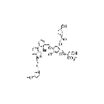 O=C(O)C(CO)NCc1cc(Cl)c(OCc2cccc(-c3cccc4c3cnn4CCCCN3CC[C@@H](O)C3)c2Br)cc1OCC(=O)N1CC[C@@H](O)C1